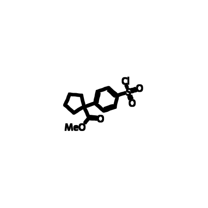 COC(=O)C1(c2ccc(S(=O)(=O)Cl)cc2)CCCC1